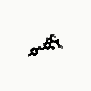 O=c1cc(COc2ccc(F)cc2)nc2sc(C(F)(F)F)c(C3CC3C(F)(F)F)n12